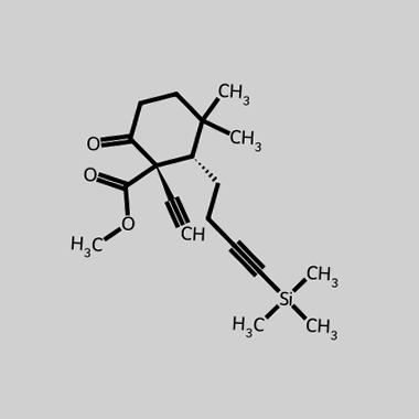 C#C[C@@]1(C(=O)OC)C(=O)CCC(C)(C)[C@@H]1CCC#C[Si](C)(C)C